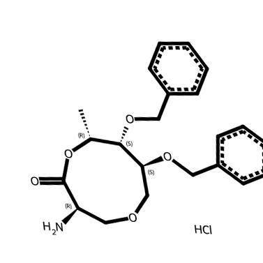 C[C@H]1OC(=O)[C@H](N)COC[C@H](OCc2ccccc2)[C@H]1OCc1ccccc1.Cl